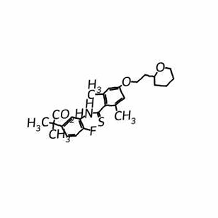 Cc1cc(OCCC2CCCCO2)cc(C)c1C(=S)Nc1cc(C(C)(C)C(=O)O)ccc1F